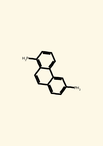 Pc1ccc2ccc3c(P)cccc3c2c1